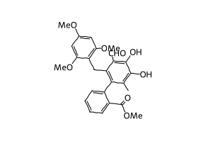 COC(=O)c1ccccc1-c1c(C)c(O)c(O)c(C=O)c1Cc1c(OC)cc(OC)cc1OC